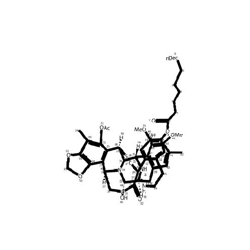 CCCCCCCCCCCCCCCC(=O)Oc1cc2c(cc1OC)[C@@]1(CS[C@@H]3c4c(OC(C)=O)c(C)c5c(c4[C@H](COC1=O)N1C3[C@H]3N[C@@H](Cc4cc(C)c(OC)c(O)c43)[C@@H]1O)OCO5)NCC2